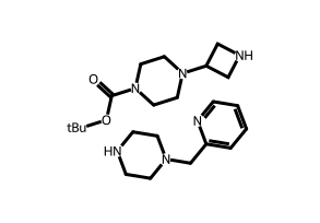 CC(C)(C)OC(=O)N1CCN(C2CNC2)CC1.c1ccc(CN2CCNCC2)nc1